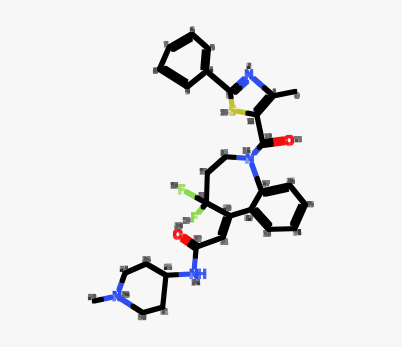 Cc1nc(-c2ccccc2)sc1C(=O)N1CCC(F)(F)/C(=C\C(=O)NC2CCN(C)CC2)c2ccccc21